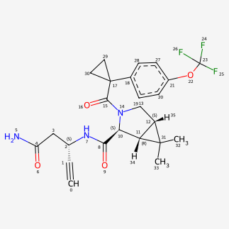 C#C[C@H](CC(N)=O)NC(=O)[C@@H]1[C@@H]2[C@H](CN1C(=O)C1(c3ccc(OC(F)(F)F)cc3)CC1)C2(C)C